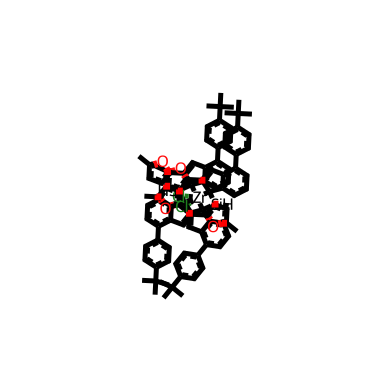 Cc1ccc(C2=Cc3c(-c4ccc(C(C)(C)C)cc4)cccc3[C]23[SiH](C)[C]2(C(c4ccc(C)o4)=Cc4c(-c5ccc(C(C)(C)C)cc5)cccc42)[Zr]32([Cl])([Cl])[C]3(C(c4ccc(C)o4)=Cc4c(-c5ccc(C(C)(C)C)cc5)cccc43)[SiH](C)[C]23C(c2ccc(C)o2)=Cc2c(-c4ccc(C(C)(C)C)cc4)cccc23)o1